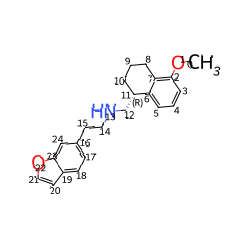 COc1cccc2c1CCC[C@H]2CNCCc1ccc2ccoc2c1